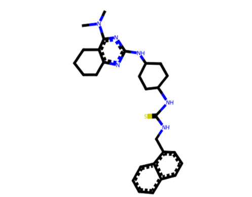 CN(C)c1nc(NC2CCC(NC(=S)NCc3cccc4ccccc34)CC2)nc2c1CCCC2